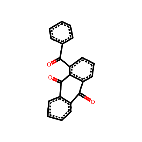 O=C(c1ccccc1)c1cccc2c1C(=O)c1ccccc1C2=O